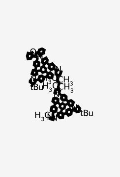 Cn1ccnc1-c1ccc(-c2ccccc2C2CC(c3ccccc3-c3ccc(-c4cc(C(C)(C)C)ccn4)cc3)CC(c3ccccc3-c3ccc(-c4cc(C(C)(C)CCC(C)(C)c5ccnc(-c6ccc(-c7ccccc7C7CC(c8ccccc8-c8ccc(-c9cc(C(C)(C)C)ccn9)cc8)CC(c8ccccc8-c8ccc(-c9nc%10ccccc%10c%10oc%11ccccc%11c9%10)cc8)C7)cc6)c5)ccn4)cc3)C2)cc1